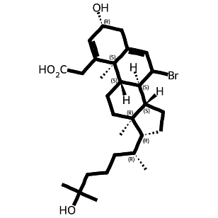 C[C@H](CCCC(C)(C)O)[C@H]1CC[C@H]2[C@@H]3C(Br)C=C4C[C@@H](O)C=C(CC(=O)O)[C@]4(C)[C@H]3CC[C@]12C